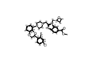 COC(=O)c1ccc2nc(CN3CCN(c4cccc5c4OC(c4ccc(Cl)cc4F)CO5)CC3)n(C[C@@H]3CCO3)c2c1